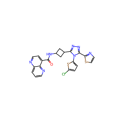 O=C(NC1CC(c2nnc(-c3nccs3)n2-c2ccc(Cl)s2)C1)c1ccnc2cccnc12